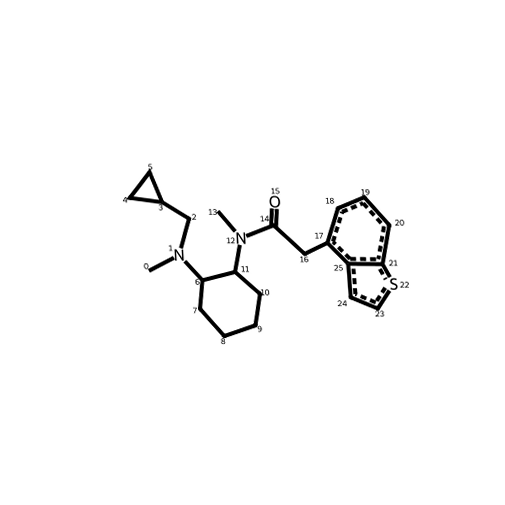 CN(CC1CC1)C1CCCCC1N(C)C(=O)Cc1cccc2sccc12